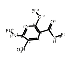 CCNC(=O)c1cc([N+](=O)[O-])c(NCC)nc1OCC